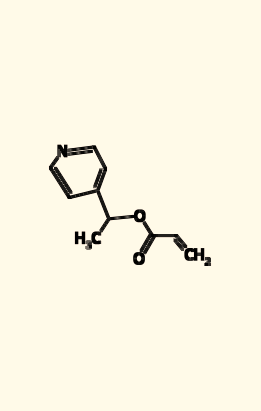 C=CC(=O)OC(C)c1ccncc1